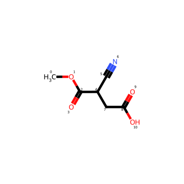 COC(=O)C(C#N)CC(=O)O